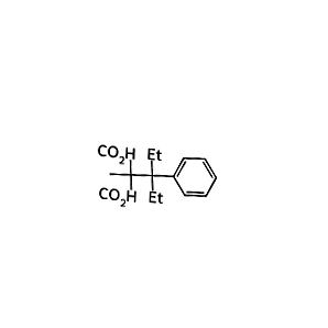 CCC(CC)(c1ccccc1)C(C)(C(=O)O)C(=O)O